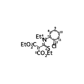 CCOC(=O)C(C(=O)OCC)C(=S)N(CC)c1ccccc1Cl